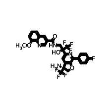 COc1cccc2cc(C(=O)NCC(O)(c3cc4c(c(-c5ccc(F)cc5)n3)OC[C@@]4(N)C(F)(F)F)C(F)(F)F)cnc12